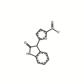 O=C1Nc2ccccc2C1c1ccc([N+](=O)[O-])o1